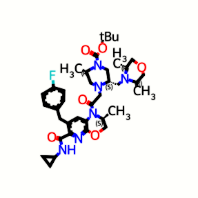 C[C@@H]1CN(CC(=O)N2c3cc(Cc4ccc(F)cc4)c(C(=O)NC4CC4)nc3OC[C@@H]2C)[C@@H](CN2[C@H](C)COC[C@H]2C)CN1C(=O)OC(C)(C)C